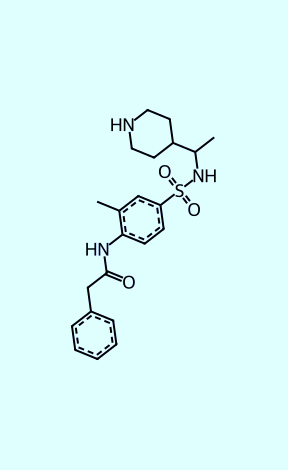 Cc1cc(S(=O)(=O)NC(C)C2CCNCC2)ccc1NC(=O)Cc1ccccc1